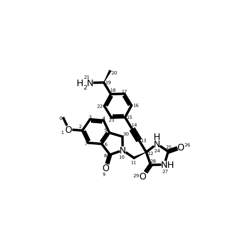 COc1ccc2c(c1)C(=O)N(C[C@@]1(C#Cc3ccc([C@H](C)N)cc3)NC(=O)NC1=O)C2